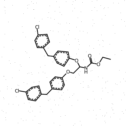 CCOC(=O)NC(COc1ccc(Cc2ccc(Cl)cc2)cc1)Oc1ccc(Cc2ccc(Cl)cc2)cc1